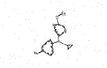 CCOc1cnc(N(c2ccc(Br)cc2)C2CC2)cn1